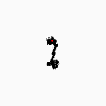 CN[C@@H](C)C(=O)N[C@H]1CCCC[C@H]2CC[C@@H](C(=O)N[C@H](c3ccccc3)c3cn(CCCCCCc4ccc(CCCCCCn5cc([C@@H](NC(=O)[C@@H]6CC[C@@H]7CCCC[C@H](NC(=O)[C@H](C)NC)C(=O)N76)c6ccccc6)nn5)cc4)nn3)N2C1=O